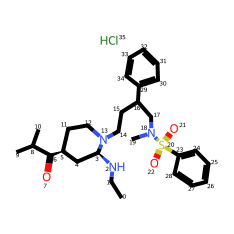 CCN[C@H]1C[C@@H](C(=O)C(C)C)CCN1CCC(CN(C)S(=O)(=O)c1ccccc1)c1ccccc1.Cl